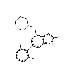 Cc1cccc(F)c1-c1cc(NC2CCCNC2)c2cc(N)[nH]c2c1